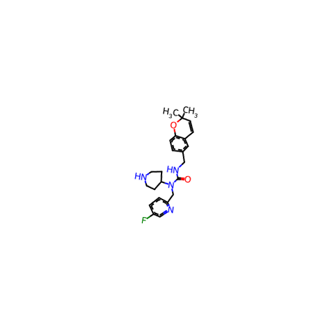 CC1(C)C=Cc2cc(CNC(=O)N(Cc3ccc(F)cn3)C3CCNCC3)ccc2O1